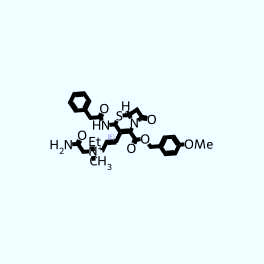 CC[N+](C)(C/C=C/C1=C(C(=O)OCc2ccc(OC)cc2)N2C(=O)C[C@H]2SC1NC(=O)Cc1ccccc1)CC(N)=O